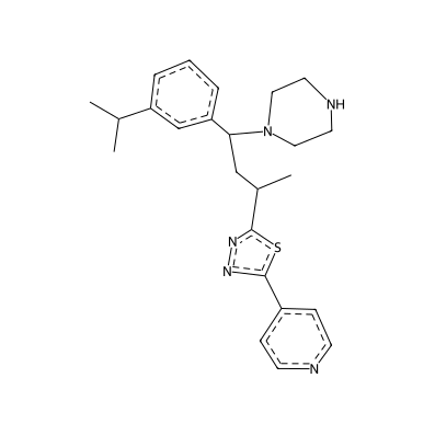 CC(C)c1cccc(C(CC(C)c2nnc(-c3ccncc3)s2)N2CCNCC2)c1